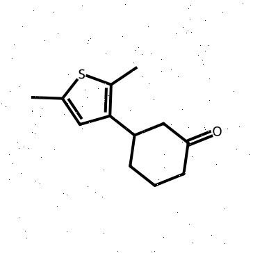 Cc1cc(C2CCCC(=O)C2)c(C)s1